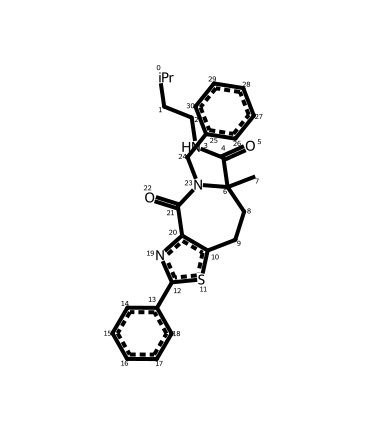 CC(C)CCNC(=O)C1(C)CCc2sc(-c3ccccc3)nc2C(=O)N1Cc1ccccc1